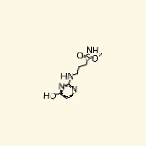 NS(=O)(=O)CCCNc1nccc(O)n1